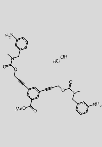 COC(=O)c1cc(C#CCOC(=O)N(C)Cc2cccc(N)c2)cc(C#CCOC(=O)N(C)Cc2cccc(N)c2)c1.Cl.Cl